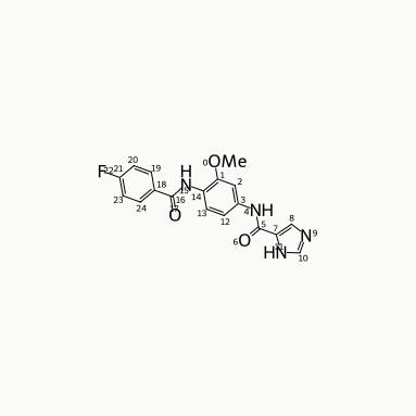 COc1cc(NC(=O)c2cnc[nH]2)ccc1NC(=O)c1ccc(F)cc1